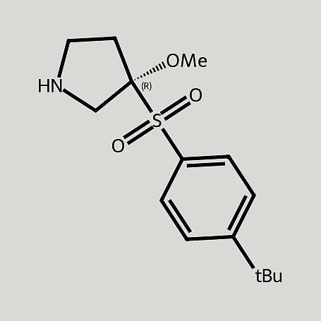 CO[C@@]1(S(=O)(=O)c2ccc(C(C)(C)C)cc2)CCNC1